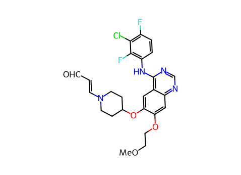 COCCOc1cc2ncnc(Nc3ccc(F)c(Cl)c3F)c2cc1OC1CCN(C=CC=O)CC1